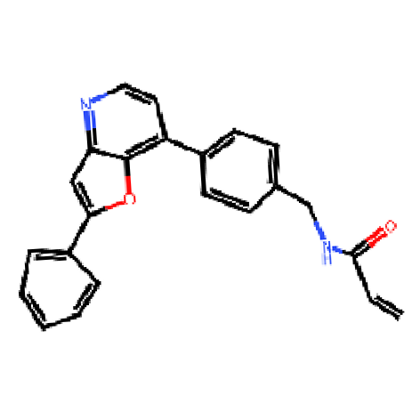 C=CC(=O)NCc1ccc(-c2ccnc3cc(-c4ccccc4)oc23)cc1